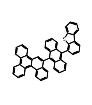 c1ccc2c(c1)sc1c(-c3c4ccccc4c(-c4cc5c6ccccc6c6ccccc6c5c5ccccc45)c4ccccc34)cccc12